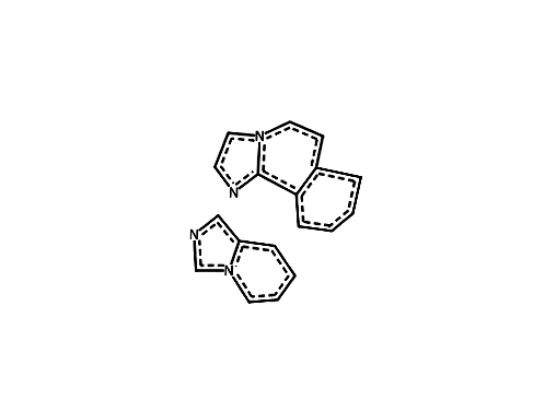 c1ccc2c(c1)ccn1ccnc21.c1ccn2cncc2c1